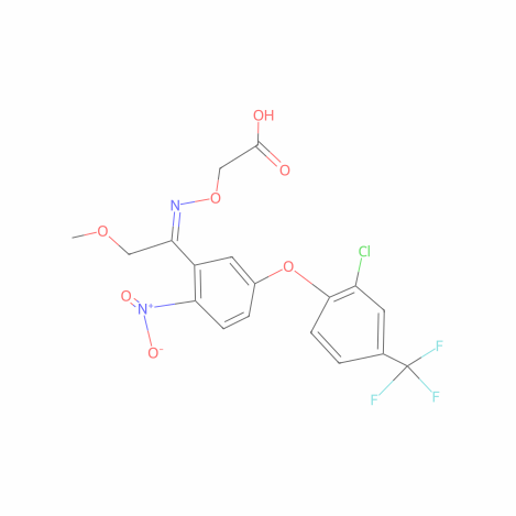 COC/C(=N/OCC(=O)O)c1cc(Oc2ccc(C(F)(F)F)cc2Cl)ccc1[N+](=O)[O-]